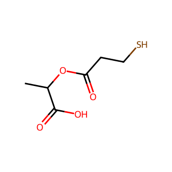 CC(OC(=O)CCS)C(=O)O